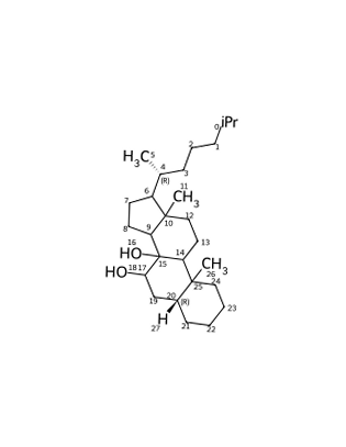 CC(C)CCC[C@@H](C)C1CCC2C1(C)CCC1C2(O)C(O)C[C@H]2CCCCC12C